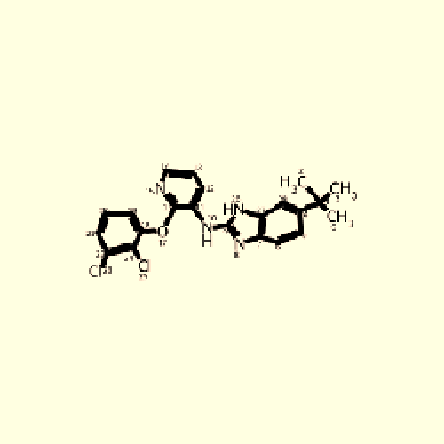 CC(C)(C)c1ccc2nc(Nc3cccnc3Oc3cccc(Cl)c3Cl)[nH]c2c1